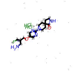 Cl.Cl.NC/C(=C\F)COc1cnc(N2CCC3(CCNC3=O)CC2)nc1